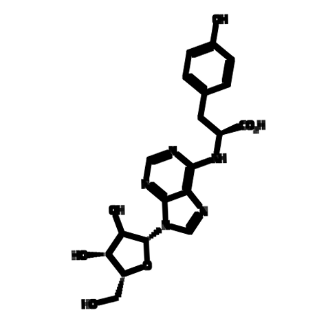 O=C(O)[C@H](Cc1ccc(O)cc1)Nc1ncnc2c1ncn2[C@@H]1O[C@H](CO)[C@H](O)C1O